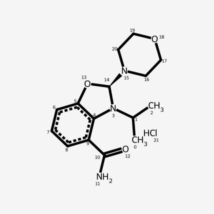 CC(C)N1c2c(cccc2C(N)=O)O[C@H]1N1CCOCC1.Cl